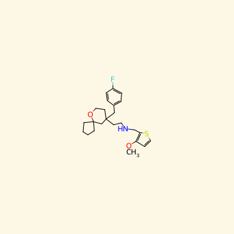 COc1ccsc1CNCCC1(Cc2ccc(F)cc2)CCOC2(CCCC2)C1